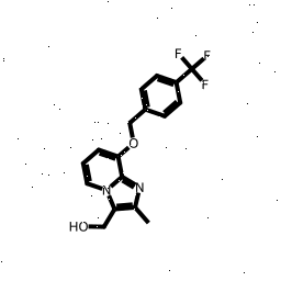 Cc1nc2c(OCc3ccc(C(F)(F)F)cc3)cccn2c1CO